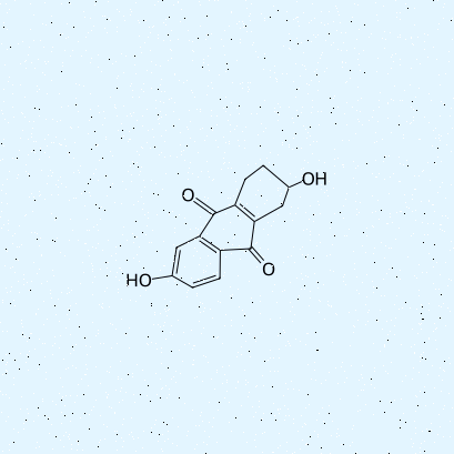 O=C1C2=C(CC(O)CC2)C(=O)c2ccc(O)cc21